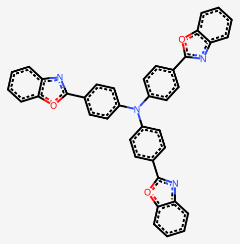 c1ccc2oc(-c3ccc(N(c4ccc(-c5nc6ccccc6o5)cc4)c4ccc(-c5nc6ccccc6o5)cc4)cc3)nc2c1